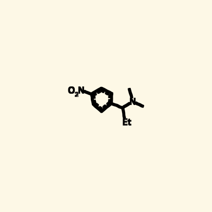 CCC(c1ccc([N+](=O)[O-])cc1)N(C)C